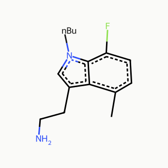 CCCCn1cc(CCN)c2c(C)ccc(F)c21